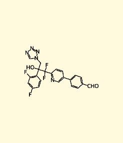 O=Cc1ccc(-c2ccc(C(F)(F)C(O)(Cn3cnnn3)c3ccc(F)cc3F)nc2)cc1